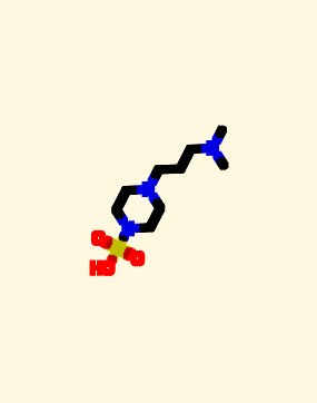 CN(C)CCCN1CCN(S(=O)(=O)O)CC1